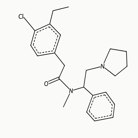 CCc1cc(CC(=O)N(C)C(CN2CCCC2)c2ccccc2)ccc1Cl